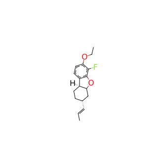 CC=C[C@@H]1CC[C@H]2c3ccc(OCC)c(F)c3OC2C1